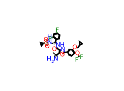 C[C@H](N)c1oc(-c2ccc(OC(F)F)c(OCC3CC3)c2)nc1C(=O)N[C@@H](CNS(=O)(=O)C1CC1)c1ccc(F)cc1F